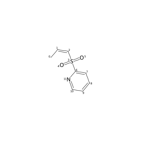 C/C=C\S(=O)(=O)c1ccccn1